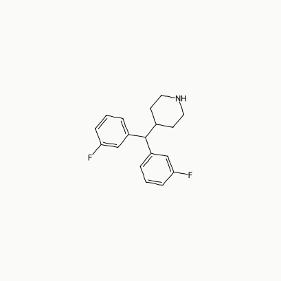 Fc1cccc(C(c2cccc(F)c2)C2CCNCC2)c1